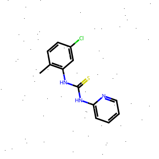 Cc1ccc(Cl)cc1NC(=S)Nc1ccccn1